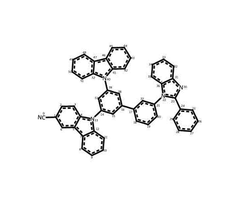 N#Cc1ccc2c(c1)c1ccccc1n2-c1cc(-c2cccc(-n3c(-c4ccccc4)nc4ccccc43)c2)cc(-n2c3ccccc3c3ccccc32)c1